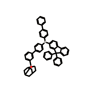 c1ccc(-c2ccc(N(c3ccc(-c4cccc(N5C6CC7CC(C6)CC5C7)c4)cc3)c3ccc4c(c3)C(c3ccccc3)(c3ccccc3)c3ccccc3-4)cc2)cc1